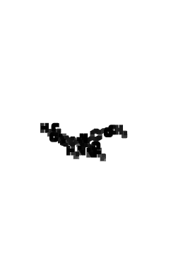 C=CC(=O)N1CC[C@]2(C1)C[C@H](n1nc(-c3ccc(COC)cc3)c(C(N)=O)c1N)C2